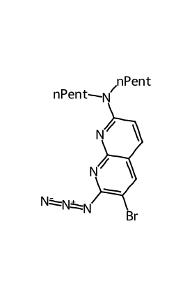 CCCCCN(CCCCC)c1ccc2cc(Br)c(N=[N+]=[N-])nc2n1